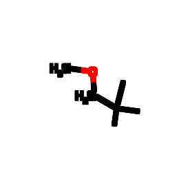 CC(C)(C)[SiH2]O[SiH3]